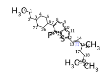 CCCC1CCC(c2ccc3cc(/C=C/C(C)CCC(C)C)sc3c2F)CC1